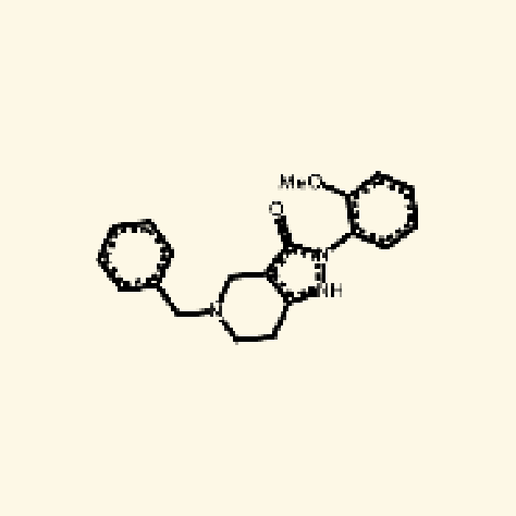 COc1ccccc1-n1[nH]c2c(c1=O)CN(Cc1ccccc1)CC2